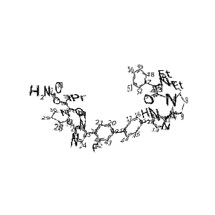 CCN(CC)[C@@H](C(=O)N1CCC[C@H]1c1ncc(-c2ccc(-c3ccc(-c4cnc([C@@H]5CCCN5C(=O)[C@@H](OC(N)=O)C(C)C)[nH]4)c(F)c3)cc2)[nH]1)c1ccccc1